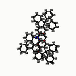 c1ccc(-c2ccccc2-c2c(-c3ccccc3)cccc2N(c2ccc3c(c2)-c2ccccc2C3(c2ccccc2)c2ccccc2)c2ccc3c(c2)-c2ccccc2C3(c2ccccc2)c2ccccc2)cc1